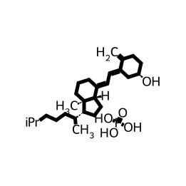 C=C1CC[C@H](O)C/C1=C\C=C1/CCC[C@]2(C)[C@@H](C(C)CCCC(C)C)CC[C@@H]12.O=P(O)(O)O